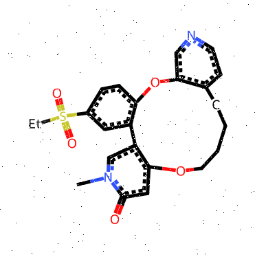 CCS(=O)(=O)c1ccc2c(c1)-c1cn(C)c(=O)cc1OCCCCc1ccncc1O2